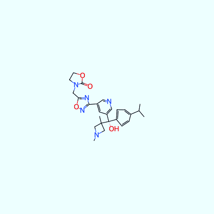 CC(C)c1ccc([C@](O)(c2cncc(-c3noc(CN4CCOC4=O)n3)c2)C2(C)CN(C)C2)cc1